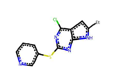 CCc1cc2c(Cl)nc(Sc3cccnc3)nc2[nH]1